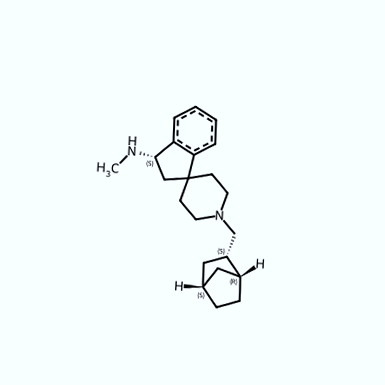 CN[C@H]1CC2(CCN(C[C@H]3C[C@H]4CC[C@@H]3C4)CC2)c2ccccc21